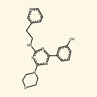 Oc1cccc(-c2nc(NCCc3cccnc3)nc(N3CCOCC3)n2)c1